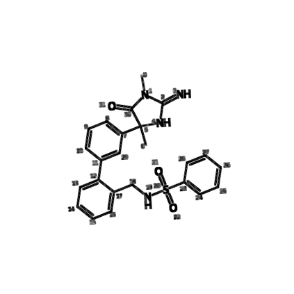 CN1C(=N)NC(C)(c2cccc(-c3ccccc3CNS(=O)(=O)c3ccccc3)c2)C1=O